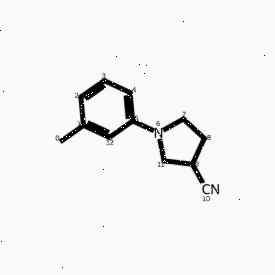 Cc1cccc(N2CCC(C#N)C2)c1